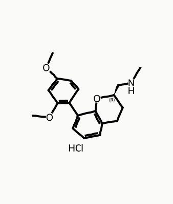 CNC[C@H]1CCc2cccc(-c3ccc(OC)cc3OC)c2O1.Cl